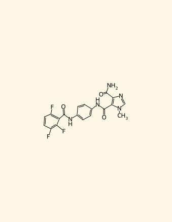 Cn1cnc(C(N)=O)c1C(=O)Nc1ccc(NC(=O)c2c(F)ccc(F)c2F)cc1